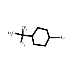 CCC(C)C1CCC(C(C)(C(F)(F)F)C(F)(F)F)CC1